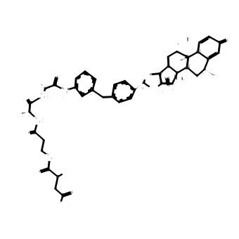 C[C@H](NC(=O)CCNC(=O)C(S)CC(=O)O)C(=O)N[C@@H](C)C(=O)Nc1cccc(Cc2ccc([C@@H]3O[C@@H]4CC5[C@@H]6C[C@H](F)C7=CC(=O)C=C[C@]7(C)[C@@]6(F)[C@@H](O)C[C@]5(C)[C@]4(C(=O)O)O3)cc2)c1